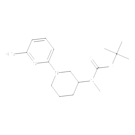 CN(C(=O)OC(C)(C)C)C1CCCN(c2cccc(N)n2)C1